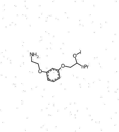 CCCC(COc1cccc(OCCN)c1)OI